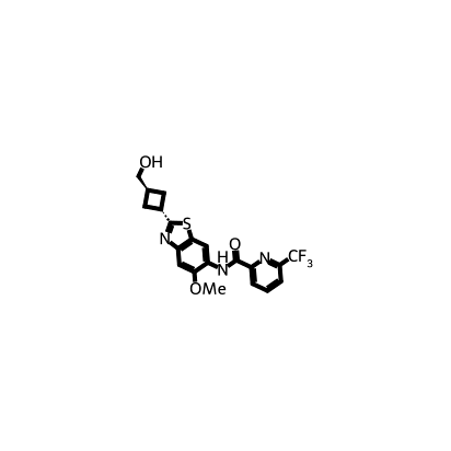 COc1cc2nc([C@H]3C[C@H](CO)C3)sc2cc1NC(=O)c1cccc(C(F)(F)F)n1